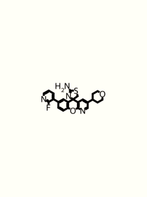 NC1=NC2(CS1)c1cc(-c3cccnc3F)ccc1Oc1ncc(C3CCOCC3)cc12